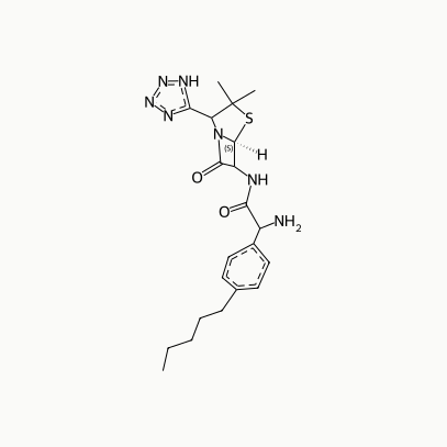 CCCCCc1ccc(C(N)C(=O)NC2C(=O)N3C(c4nnn[nH]4)C(C)(C)S[C@@H]23)cc1